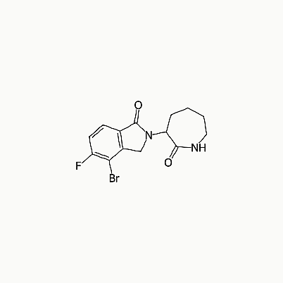 O=C1NCCCCC1N1Cc2c(ccc(F)c2Br)C1=O